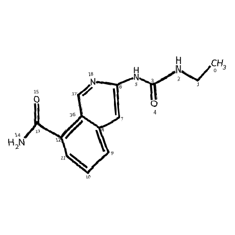 CCNC(=O)Nc1cc2cccc(C(N)=O)c2cn1